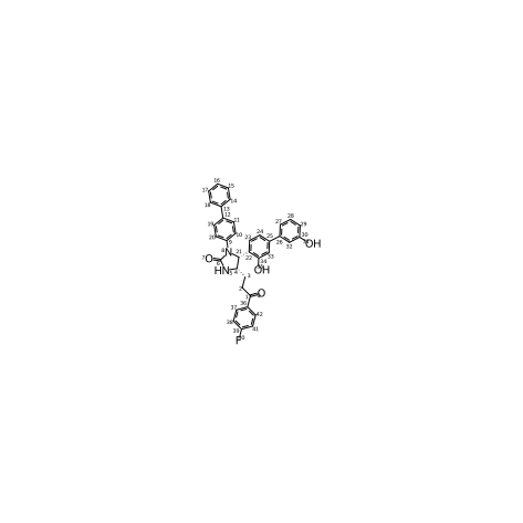 O=C(CC[C@@H]1NC(=O)N(c2ccc(-c3ccccc3)cc2)[C@@H]1c1ccc(-c2cccc(O)c2)cc1O)c1ccc(F)cc1